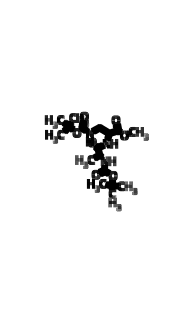 COC(=O)C(CNC(=O)OC(C)(C)C)NC(=O)C(C)NC(=O)OC(C)(C)C